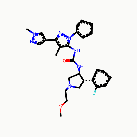 COCCN1C[C@@H](NC(=O)Nc2c(C)c(-c3cnn(C)c3)nn2-c2ccccc2)[C@H](c2ccccc2F)C1